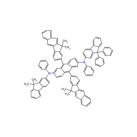 CC1(C)c2ccccc2-c2ccc(N(c3ccccc3)c3ccc4c(-c5ccc6c(c5)C(C)(C)c5cc7ccccc7cc5-6)c5cc(N(c6ccccc6)c6ccc7c(c6)C(c6ccccc6)(c6ccccc6)c6ccccc6-7)ccc5c(-c5ccc6c(c5)C(C)(C)c5cc7ccccc7cc5-6)c4c3)cc21